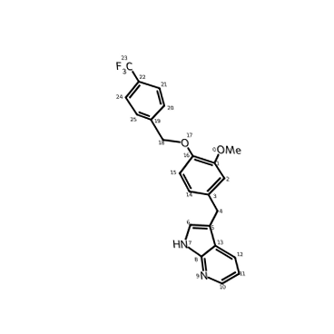 COc1cc(Cc2c[nH]c3ncccc23)ccc1OCc1ccc(C(F)(F)F)cc1